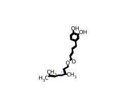 CC(C)=CCC/C(C)=C/COC(=O)C=CC=Cc1ccc(O)c(O)c1